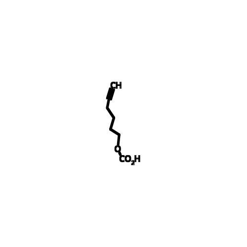 C#CCCCCOC(=O)O